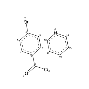 O=C(Cl)c1ccc(Br)cc1.c1ccncc1